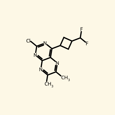 Cc1nc2nc(Cl)nc(C3CC(C(F)F)C3)c2nc1C